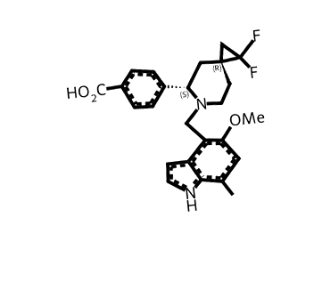 COc1cc(C)c2[nH]ccc2c1CN1CC[C@@]2(C[C@H]1c1ccc(C(=O)O)cc1)CC2(F)F